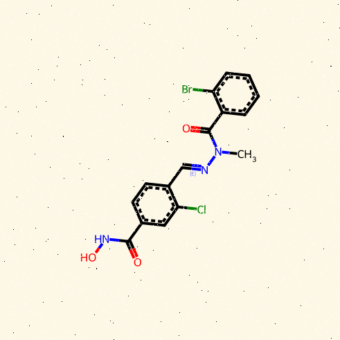 CN(/N=C/c1ccc(C(=O)NO)cc1Cl)C(=O)c1ccccc1Br